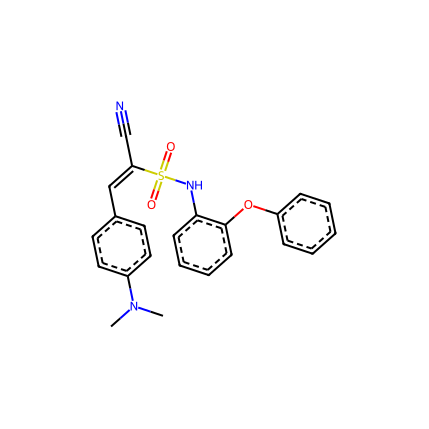 CN(C)c1ccc(C=C(C#N)S(=O)(=O)Nc2ccccc2Oc2ccccc2)cc1